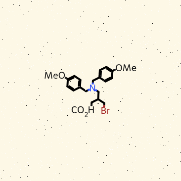 COc1ccc(CN(Cc2ccc(OC)cc2)CC(CBr)CC(=O)O)cc1